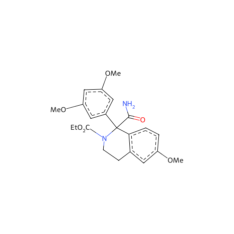 CCOC(=O)N1CCc2cc(OC)ccc2C1(C(N)=O)c1cc(OC)cc(OC)c1